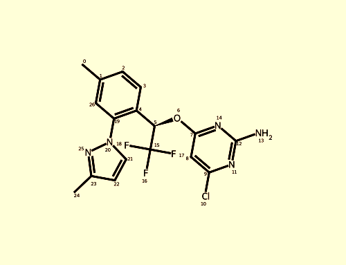 Cc1ccc([C@@H](Oc2cc(Cl)nc(N)n2)C(F)(F)F)c(-n2ccc(C)n2)c1